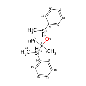 CCCC(C)(O[SiH](C)c1ccccc1)[SiH](C)c1ccccc1